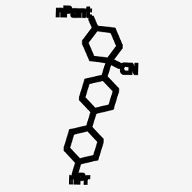 CCCCCC1CCC(C#N)(C2CCC(C3CCC(CCC)CC3)CC2)CC1